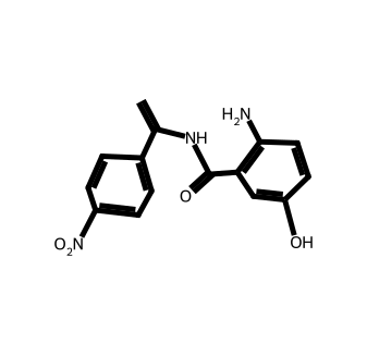 C=C(NC(=O)c1cc(O)ccc1N)c1ccc([N+](=O)[O-])cc1